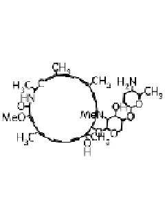 CNC1C(OC2C=CC=CC(C)=CC=CC(C)=CCC(C)NC(=O)C(OC)=CC(C)=CC=CC=CC2(C)O)OCC(OC2CCC(N)C(C)O2)C1O